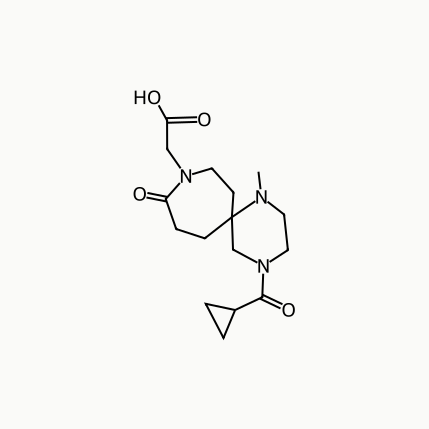 CN1CCN(C(=O)C2CC2)CC12CCC(=O)N(CC(=O)O)CC2